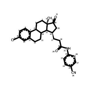 C[C@]12CCC3c4ccc(Cl)cc4CCC3C1[C@H](CCC(=O)Nc1ccc(C#N)cn1)CC2=O